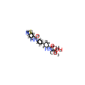 CC(C)(NC(=O)[C@H]1CC[C@H](c2ccc(NC(=O)c3ccc4ncsc4c3)cc2)CC1)C(=O)O